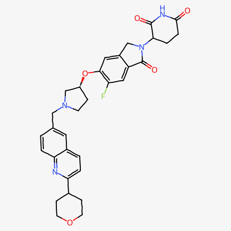 O=C1CCC(N2Cc3cc(O[C@H]4CCN(Cc5ccc6nc(C7CCOCC7)ccc6c5)C4)c(F)cc3C2=O)C(=O)N1